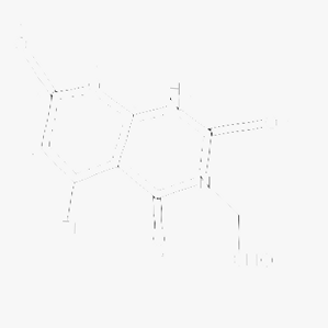 CCc1cc(=O)oc2[nH]c(=O)n(CC=O)c(=O)c12